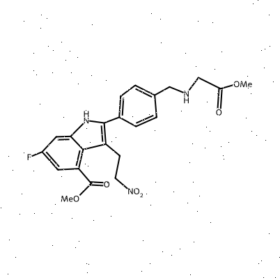 COC(=O)CNCc1ccc(-c2[nH]c3cc(F)cc(C(=O)OC)c3c2CC[N+](=O)[O-])cc1